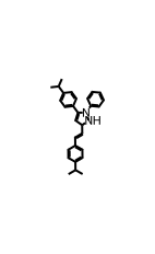 CC(C)c1ccc(C=CC2C=C(c3ccc(C(C)C)cc3)N(c3ccccc3)N2)cc1